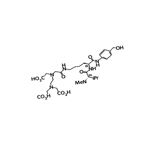 CN[C@H](C(=O)N[C@@H](CCCCNC(=O)CN(CCN(CC(=O)O)CC(=O)O)CC(=O)O)C(=O)Nc1ccc(CO)cc1)C(C)C